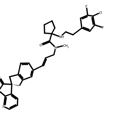 CN(C/C=C/c1ccc2c(c1)C[C@@]1(C2)C(=O)Nc2ncccc21)C(=O)C1(NCCc2cc(F)c(Cl)c(F)c2)CCCC1